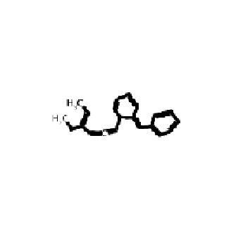 CC=C(C=C=CC1C=CC=CC1=Cc1ccccc1)CC